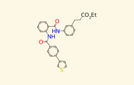 CCOC(=O)CCc1cccc(NC(=O)c2ccccc2NC(=O)c2ccc(-c3ccsc3)cc2)c1